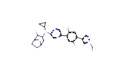 Oc1cc(-c2cnn(CF)c2)c(F)cc1-c1cnc(N(C2CC2)C2C[C@H]3CC[C@H](N3)C2F)cn1